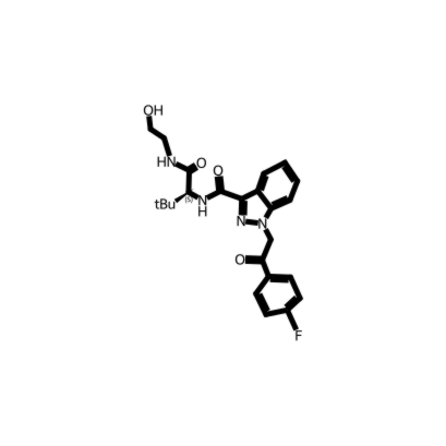 CC(C)(C)[C@H](NC(=O)c1nn(CC(=O)c2ccc(F)cc2)c2ccccc12)C(=O)NCCO